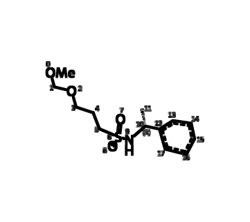 COCOCCCS(=O)(=O)N[C@H](C)c1ccccc1